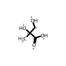 CC(O)(CO)C(=O)O